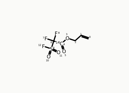 C=CCO[14C](=O)C(F)(F)S(=O)(=O)F